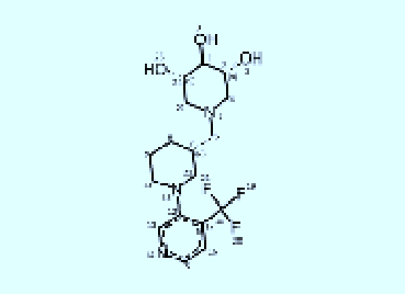 OC1[C@H](O)CN(C[C@H]2CCCN(c3cnccc3C(F)(F)F)C2)C[C@@H]1O